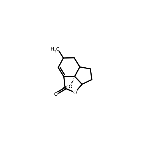 CC(=O)O[C@]12C3=CC(C)CC1CCC2OC3=O